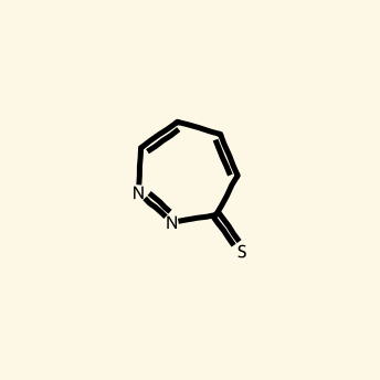 S=c1ccccnn1